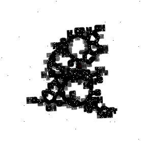 CN[C@H](CC(C)C)C(=O)NC1C(=O)N[C@@H](CC(N)=O)C(=O)N[C@H]2C(=O)N[C@H]3C(=O)N[C@H](C(=O)NCC(C(=O)O)c4cc(O)cc(O)c4-c4cc3ccc4O)[C@H](O)c3ccc(c(Cl)c3)Oc3cc2cc(c3O[C@H]2OC(CO)[C@@H](O)[C@H](O)C2OC2CC(C)(N)C(O)C(C)O2)Oc2ccc(cc2Cl)[C@H]1O